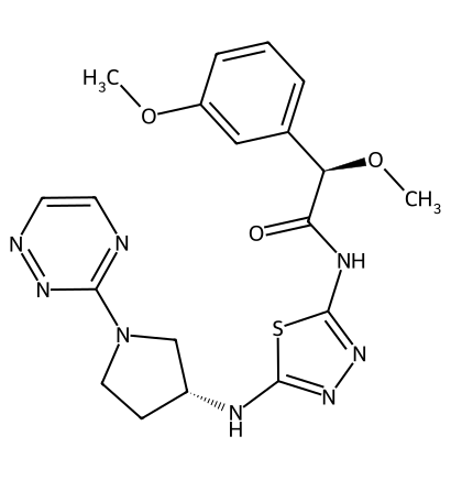 COc1cccc([C@@H](OC)C(=O)Nc2nnc(N[C@@H]3CCN(c4nccnn4)C3)s2)c1